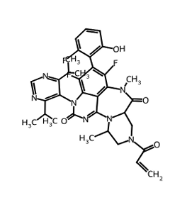 C=CC(=O)N1CC(C)N2c3nc(=O)n(-c4c(C(C)C)ncnc4C(C)C)c4c(F)c(-c5c(O)cccc5F)c(F)c(c34)N(C)C(=O)C2C1